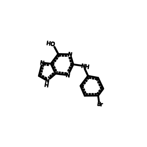 Oc1nc(Nc2ccc(Br)cc2)nc2[nH]cnc12